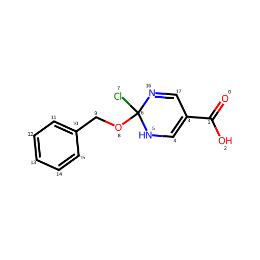 O=C(O)C1=CNC(Cl)(OCc2ccccc2)N=C1